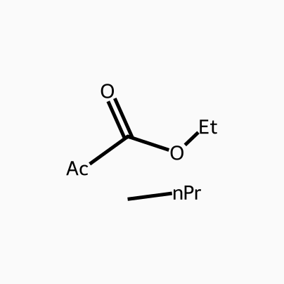 CCCC.CCOC(=O)C(C)=O